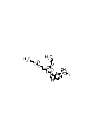 CCCOC(=O)OCCCOC(OC(=O)OCCC)n1cnc2cnc(N(C)C)nc21